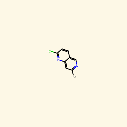 CC(=O)c1cc2nc(Cl)ccc2cn1